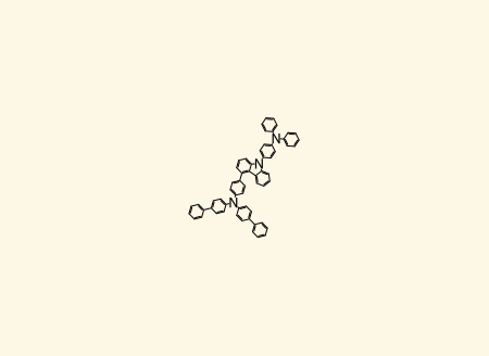 c1ccc(-c2ccc(N(c3ccc(-c4ccccc4)cc3)c3ccc(-c4cccc5c4c4ccccc4n5-c4ccc(N(c5ccccc5)c5ccccc5)cc4)cc3)cc2)cc1